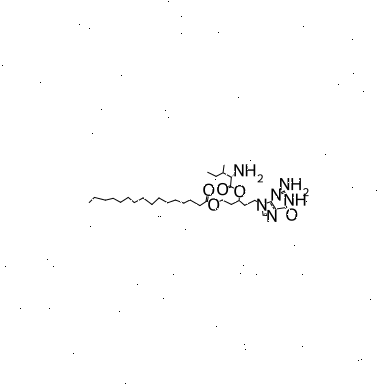 CCCCCCCCCCCCCCCC(=O)OCCC(CCn1cnc2c(=O)[nH]c(N)nc21)OC(=O)[C@@H](N)C(C)CC